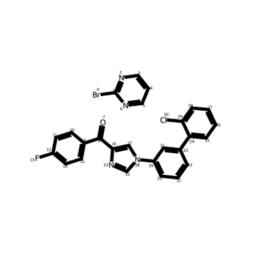 Brc1ncccn1.O=C(c1ccc(F)cc1)c1cn(-c2cccc(-c3ccccc3Cl)c2)cn1